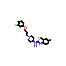 Cc1ccc2c(c1)=CSC(NC1CCN(CCCOc3ccc(F)c(F)c3)CC1)N=2